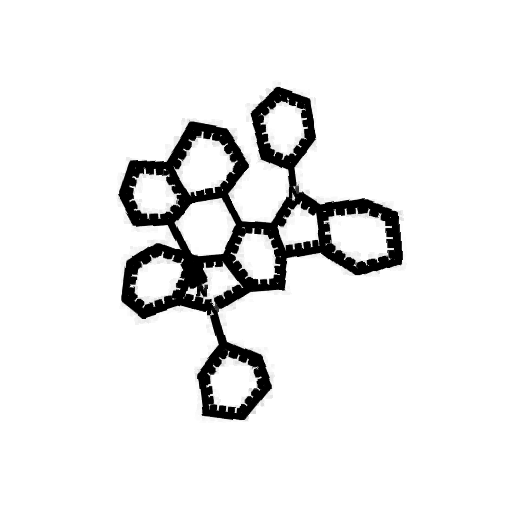 N#Cc1cccc2cccc(-c3c4c5ccccc5n(-c5ccccc5)c4cc4c5ccccc5n(-c5ccccc5)c34)c12